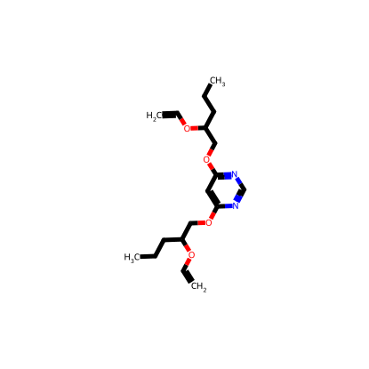 C=COC(CCC)COc1cc(OCC(CCC)OC=C)ncn1